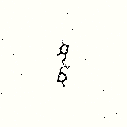 [O-][S+](C=Cc1ccc(F)cc1F)Cc1ccc(F)cc1